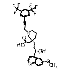 COc1ccc2nccc([C@@H](O)CC[C@]3(CC(=O)O)CCCN(CC#Cc4cc(C(F)(F)F)cc(C(F)(F)F)c4)C3)c2c1